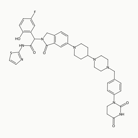 O=C1CCN(c2ccc(CN3CCN(C4CCN(c5ccc6c(c5)C(=O)N(C(C(=O)Nc5nccs5)c5cc(F)ccc5O)C6)CC4)CC3)cc2)C(=O)N1